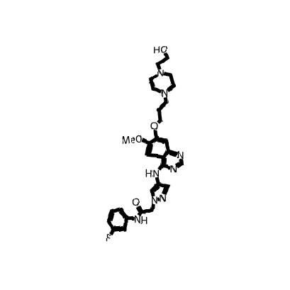 COc1cc2c(Nc3cnn(CC(=O)Nc4cccc(F)c4)c3)ncnc2cc1OCCCN1CCN(CCO)CC1